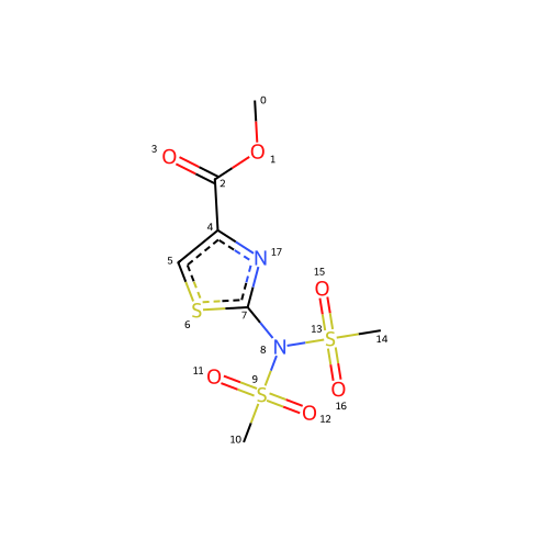 COC(=O)c1csc(N(S(C)(=O)=O)S(C)(=O)=O)n1